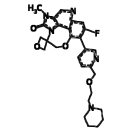 Cn1c(=O)n2c3c4c(c(-c5ccc(COCCN6CCCCC6)nc5)c(F)cc4ncc31)OCC21COC1